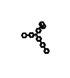 c1ccc(-c2ccc(-c3ccc(N(c4ccc(C5CCCCC5)cc4)c4ccc(C56CC7CC(CC(C7)C5)C6)cc4)cc3)cc2)cc1